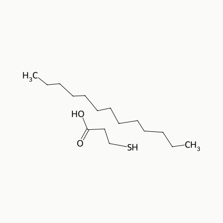 CCCCCCCCCCCCC.O=C(O)CCS